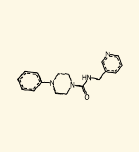 O=C(NCc1cccnc1)N1CCN(c2ccccc2)CC1